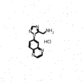 Cl.NCc1ncnn1-c1ccc2nccnc2c1